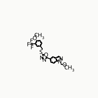 COCn1ncc2cc(-c3nnc(SCc4ccc(OC)c(C(F)(F)F)c4)o3)ccc21